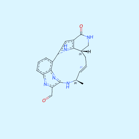 C[C@@H]1/C=C/C[C@H]2CNC(=O)c3cc([nH]c32)-c2cccc3nc(C=O)c(nc23)N1